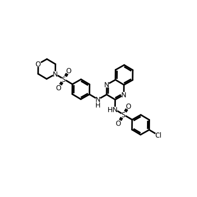 O=S(=O)(Nc1nc2ccccc2nc1Nc1ccc(S(=O)(=O)N2CCOCC2)cc1)c1ccc(Cl)cc1